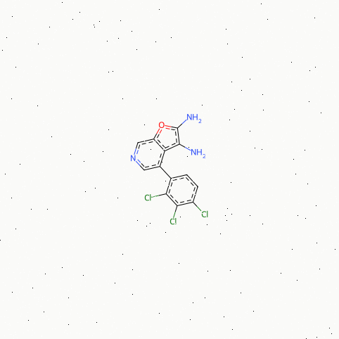 Nc1oc2cncc(-c3ccc(Cl)c(Cl)c3Cl)c2c1N